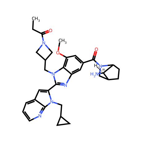 CCC(=O)N1CC(Cn2c(-c3cc4cccnc4n3CC3CC3)nc3cc(C(=O)N4CC5CCC4[C@@H]5N)cc(OC)c32)C1